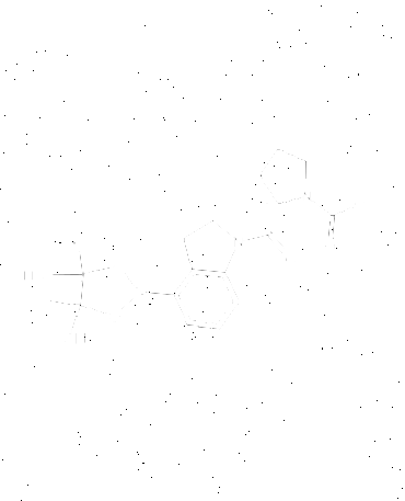 CC1(C)OB(c2cccc3c2CCN3C(=O)[C@@H]2CCCN2C(=O)O)OC1(C)C